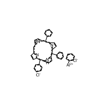 C1=Cc2nc1cc1ccc([nH]1)c(-c1ccccc1)c1nc(c(-c3ccccc3)c3ccc([nH]3)c2-c2ccccc2)C=C1.[Al+2][c]1ccccc1.[Cl-].[Cl-]